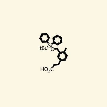 Cc1ccc(CCC(=O)O)cc1CO[Si](c1ccccc1)(c1ccccc1)C(C)(C)C